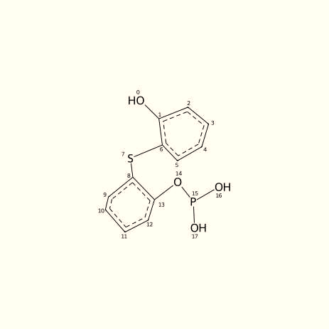 Oc1ccccc1Sc1ccccc1OP(O)O